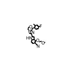 COCCOc1c(C#N)ccc2[nH]c(-c3cn4c(n3)C(c3ccc(F)cc3C)OCC4)cc12